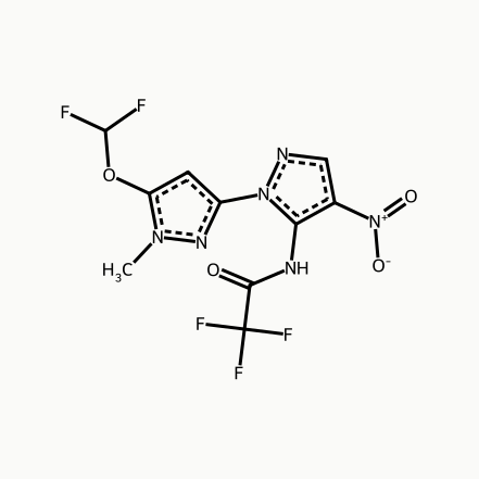 Cn1nc(-n2ncc([N+](=O)[O-])c2NC(=O)C(F)(F)F)cc1OC(F)F